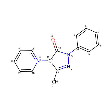 Cc1nn(-c2ccccc2)c(=O)[c-]1-[n+]1ccccc1